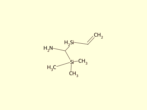 C=C[SiH2]C(N)[Si](C)(C)C